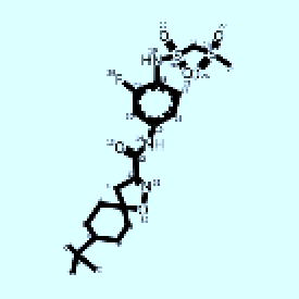 CC(C)(C)C1CCC2(CC1)CC(C(=O)Nc1ccc(NS(=O)(=O)CS(C)(=O)=O)c(F)c1)=NO2